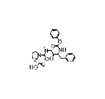 CN(CC(=O)C(Cc1ccccc1)NC(=O)Oc1ccccc1)C(=O)N1CCC[C@H]1C(=O)O